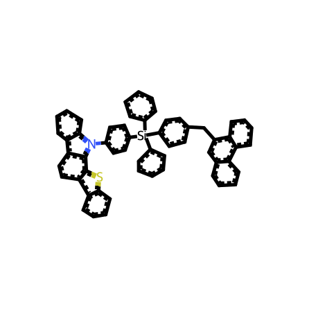 c1ccc([Si](c2ccccc2)(c2ccc(Cc3cc4ccccc4c4ccccc34)cc2)c2ccc(-n3c4ccccc4c4ccc5c6ccccc6sc5c43)cc2)cc1